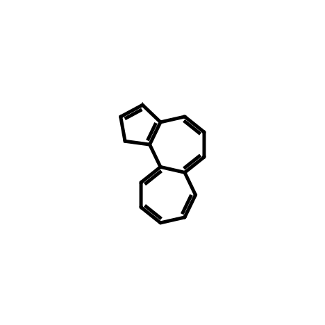 [C]1=CCC2=C1C=CC=C1C=CC=CC=C12